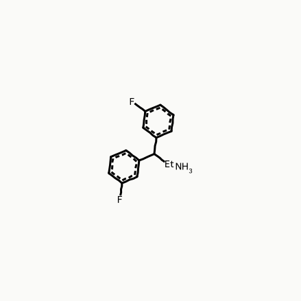 CCC(c1cccc(F)c1)c1cccc(F)c1.N